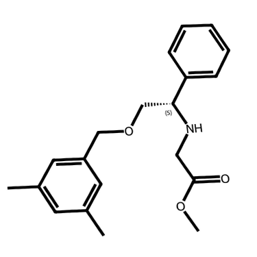 COC(=O)CN[C@H](COCc1cc(C)cc(C)c1)c1ccccc1